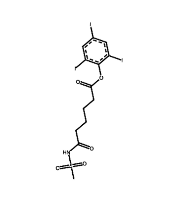 CS(=O)(=O)NC(=O)CCCCC(=O)Oc1c(I)cc(I)cc1I